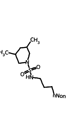 CCCCCCCCCCCCNS(=O)(=O)N1CC(C)CC(C)C1